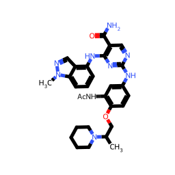 CC(=O)Nc1cc(Nc2ncc(C(N)=O)c(Nc3cccc4c3cnn4C)n2)ccc1OCC(C)N1CCCCC1